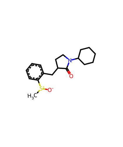 C[S+]([O-])c1ccccc1CC1CCN(C2CCCCC2)C1=O